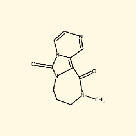 CN1CCCn2c(c3cnccn3c2=O)C1=O